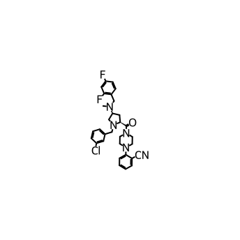 CN(Cc1ccc(F)cc1F)[C@H]1C[C@@H](C(=O)N2CCN(c3ccccc3C#N)CC2)N(Cc2cccc(Cl)c2)C1